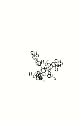 COc1cc(C)[nH]c(=O)c1CNC(=O)c1cc(-c2ccc(N3CCN(C)CC3)nc2)cc2c1C(C)CN2S(=O)(=O)N(C)C